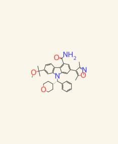 COC(C)(C)c1ccc2c3c(C(N)=O)cc(-c4c(C)noc4C)cc3n([C@H](c3ccccc3)C3CCOCC3)c2c1